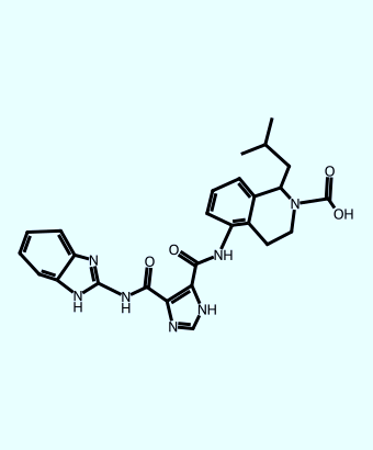 CC(C)CC1c2cccc(NC(=O)c3[nH]cnc3C(=O)Nc3nc4ccccc4[nH]3)c2CCN1C(=O)O